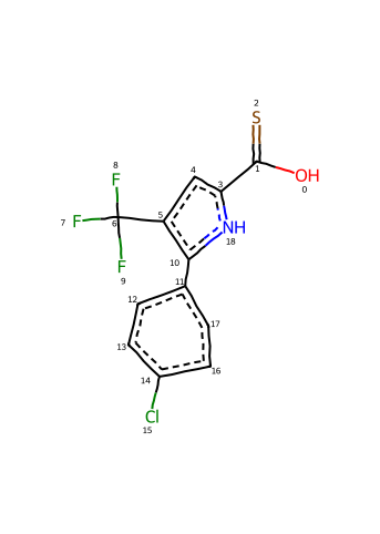 OC(=S)c1cc(C(F)(F)F)c(-c2ccc(Cl)cc2)[nH]1